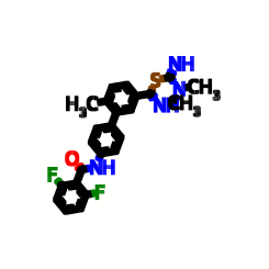 Cc1ccc(C(=N)SC(=N)N(C)C)cc1-c1ccc(NC(=O)c2c(F)cccc2F)cc1